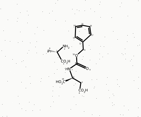 CC(C)[C@H](N)C(=O)O.O=C(O)C[C@H](NC(=O)OCc1ccccc1)C(=O)O